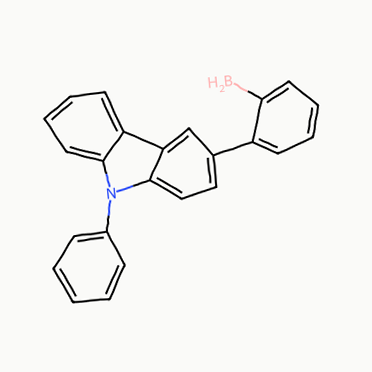 Bc1ccccc1-c1ccc2c(c1)c1ccccc1n2-c1ccccc1